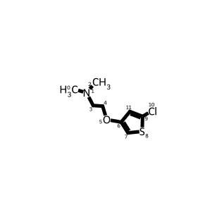 CN(C)CCOc1csc(Cl)c1